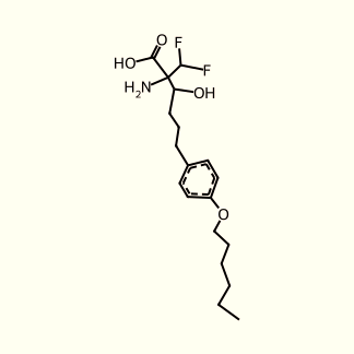 CCCCCCOc1ccc(CCCC(O)C(N)(C(=O)O)C(F)F)cc1